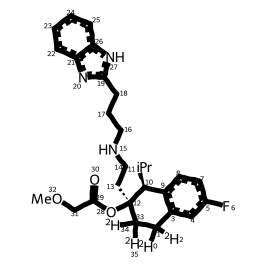 [2H]C1([2H])c2cc(F)ccc2[C@H](C(C)C)[C@](CCNCCCc2nc3ccccc3[nH]2)(OC(=O)COC)C1([2H])[2H]